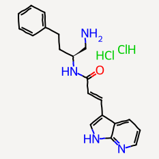 Cl.Cl.NC[C@H](CCc1ccccc1)NC(=O)/C=C/c1c[nH]c2ncccc12